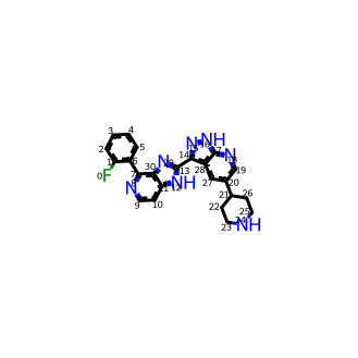 Fc1ccccc1-c1nccc2[nH]c(-c3n[nH]c4ncc(C5CCNCC5)cc34)nc12